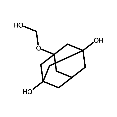 OCOC12CC3CC(O)(CC(O)(C3)C1)C2